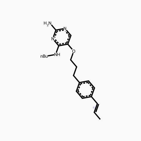 C/C=C/c1ccc(CCCOc2cnc(N)nc2NCCCC)cc1